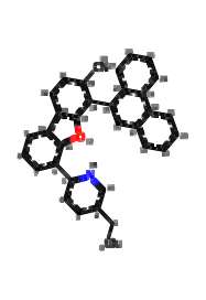 CC(C)(C)Cc1ccc(-c2cccc3c2oc2c(-c4cc5ccccc5c5ccccc45)c(C#N)ccc23)nc1